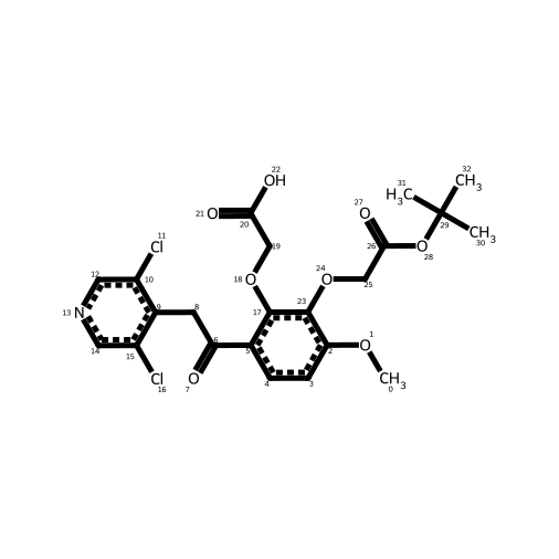 COc1ccc(C(=O)Cc2c(Cl)cncc2Cl)c(OCC(=O)O)c1OCC(=O)OC(C)(C)C